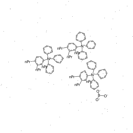 CCCc1ccc([N+](c2ccccc2)(c2ccccc2)c2ccccc2)c(CCC)c1CCC.CCCc1ccc([N+](c2ccccc2)(c2ccccc2)c2ccccc2)c(CCC)c1CCC.CCCc1ccc([N+](c2ccccc2)(c2ccccc2)c2ccccc2)c(CCC)c1CCC.[O-]B([O-])[O-]